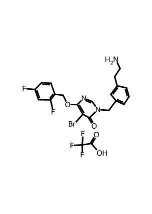 NCCc1cccc(Cn2cnc(OCc3ccc(F)cc3F)c(Br)c2=O)c1.O=C(O)C(F)(F)F